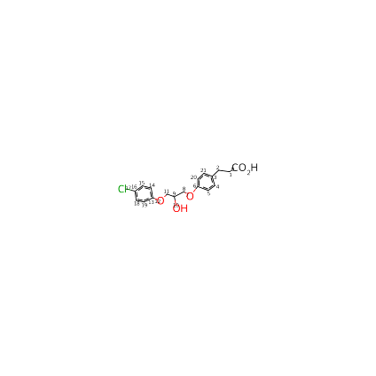 O=C(O)CCc1ccc(OCC(O)COc2ccc(Cl)cc2)cc1